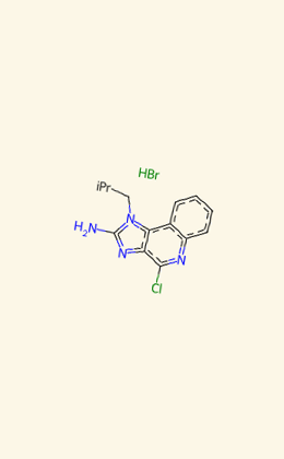 Br.CC(C)Cn1c(N)nc2c(Cl)nc3ccccc3c21